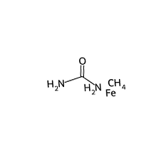 C.NC(N)=O.[Fe]